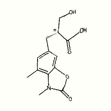 Cc1cc(C[C@H](CO)C(=O)O)cc2oc(=O)n(C)c12